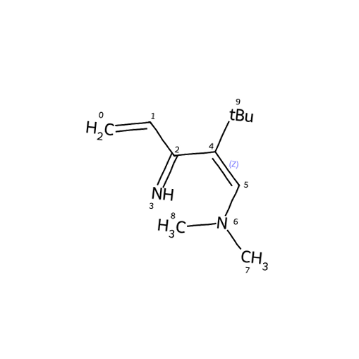 C=CC(=N)/C(=C\N(C)C)C(C)(C)C